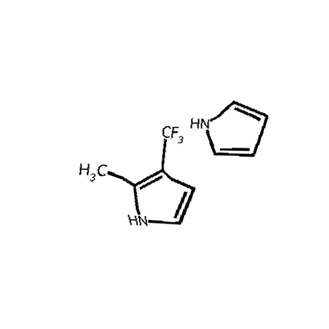 Cc1[nH]ccc1C(F)(F)F.c1cc[nH]c1